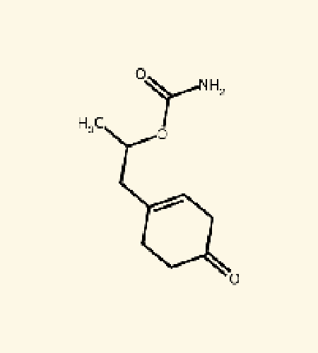 CC(CC1=CCC(=O)CC1)OC(N)=O